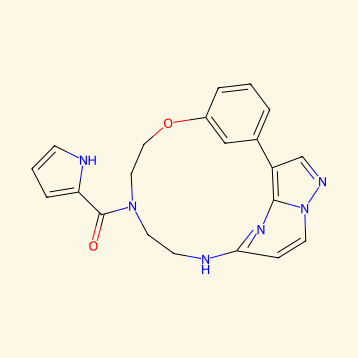 O=C(c1ccc[nH]1)N1CCNc2ccn3ncc(c3n2)-c2cccc(c2)OCC1